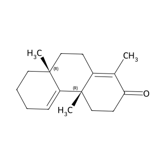 CC1=C2CC[C@@]3(C)CCCC=C3[C@@]2(C)CCC1=O